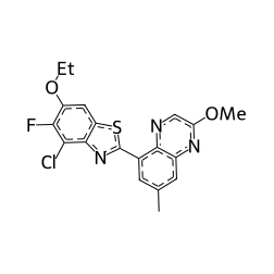 [CH2]COc1cc2sc(-c3cc(C)cc4nc(OC)cnc34)nc2c(Cl)c1F